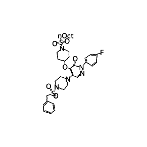 CCCCCCCCS(=O)(=O)N1CCC(Oc2c(N3CCN(S(=O)(=O)Cc4ccccc4)CC3)cnn(-c3ccc(F)cc3)c2=O)CC1